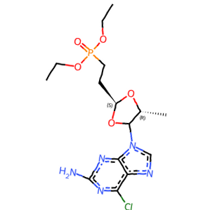 CCOP(=O)(CC[C@@H]1OC(n2cnc3c(Cl)nc(N)nc32)[C@@H](C)O1)OCC